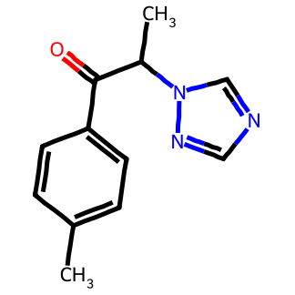 Cc1ccc(C(=O)C(C)n2cncn2)cc1